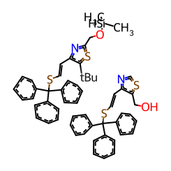 C[SiH](C)OCc1nc(C=CSC(c2ccccc2)(c2ccccc2)c2ccccc2)c(C(C)(C)C)s1.OCc1scnc1C=CSC(c1ccccc1)(c1ccccc1)c1ccccc1